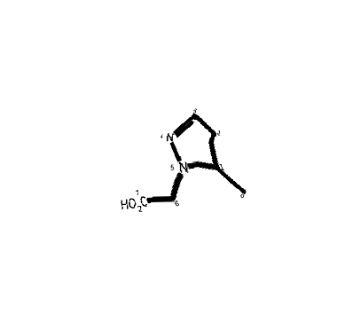 CC1CC=NN1CC(=O)O